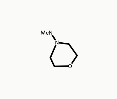 C[N]N1CCOCC1